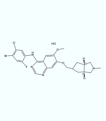 COc1cc2c(Nc3cc(Cl)c(Br)cc3F)ncnc2cc1OCC1C[C@@H]2CN(C)C[C@@H]2C1.Cl